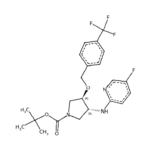 CC(C)(C)OC(=O)N1C[C@@H](Nc2ccc(F)cn2)[C@H](OCc2ccc(C(F)(F)F)cc2)C1